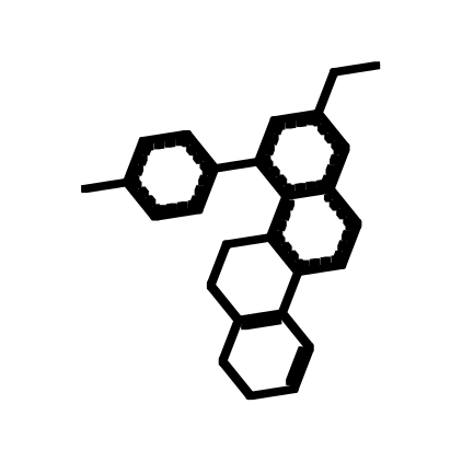 CCc1cc(-c2ccc(C)cc2)c2c3c(ccc2c1)C1=C(CCC=C1)CC3